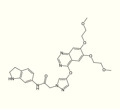 COCCOc1cc2ncnc(Oc3cnn(CC(=O)Nc4ccc5c(c4)NCC5)c3)c2cc1OCCOC